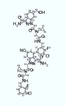 N#Cc1cc(-c2cc(Cl)c(F)c(CNC(=O)CN(C(=O)Cn3nc(C(N)=O)c4ccc(CO)cc43)C3CC3)c2)c2c(C(N)=O)nn(CC(=O)N(CC(=O)NCc3cccc(Cl)c3F)C3CC3)c2c1